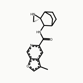 Cc1coc2cnc(C(=O)NC3C4CCC(CC4)[C@@]34CN4)cc12